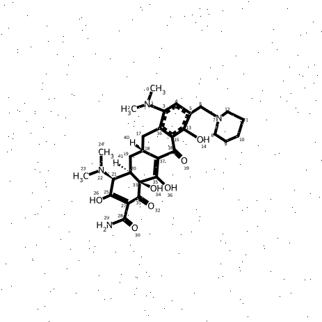 CN(C)c1cc(CN2CCCCC2)c(O)c2c1C[C@H]1C[C@@H]3[C@H](N(C)C)C(O)=C(C(N)=O)C(=O)[C@@]3(O)C(O)=C1C2=O